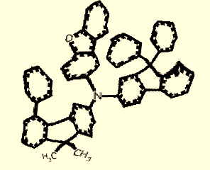 CC1(C)c2ccc(N(c3ccc4c(c3)C(c3ccccc3)(c3ccccc3)c3ccccc3-4)c3ccc4oc5ccccc5c4c3)cc2-c2c(-c3ccccc3)cccc21